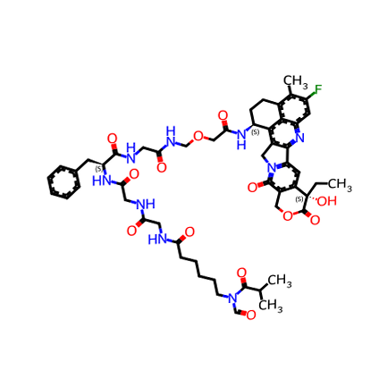 CC[C@@]1(O)C(=O)OCc2c1cc1n(c2=O)Cc2c-1nc1cc(F)c(C)c3c1c2[C@@H](NC(=O)COCNC(=O)CNC(=O)[C@H](Cc1ccccc1)NC(=O)CNC(=O)CNC(=O)CCCCCN(C=O)C(=O)C(C)C)CC3